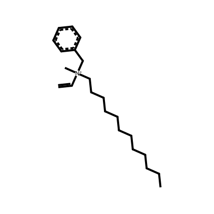 C=C[N+](C)(CCCCCCCCCCCC)Cc1ccccc1